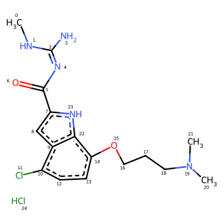 CNC(N)=NC(=O)c1cc2c(Cl)ccc(OCCCN(C)C)c2[nH]1.Cl